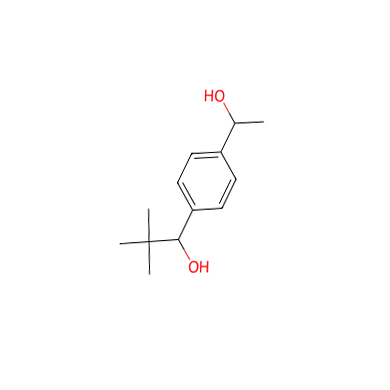 CC(O)c1ccc(C(O)C(C)(C)C)cc1